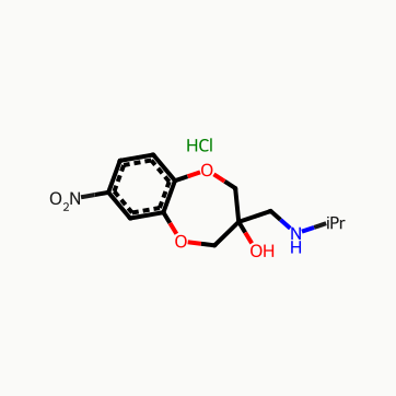 CC(C)NCC1(O)COc2ccc([N+](=O)[O-])cc2OC1.Cl